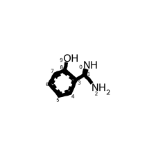 N=C(N)c1ccccc1O